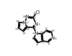 Clc1nc(-n2ccc3cnccc32)c2cccn2n1